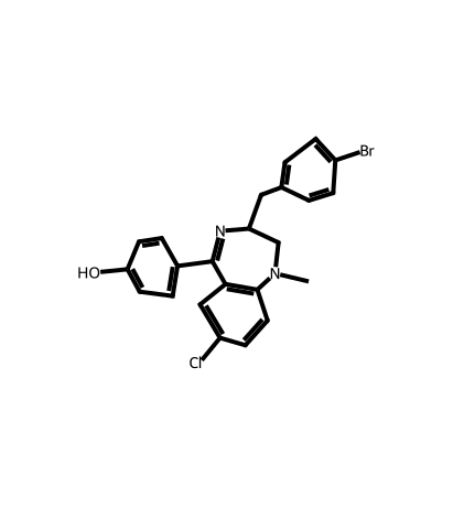 CN1CC(Cc2ccc(Br)cc2)N=C(c2ccc(O)cc2)c2cc(Cl)ccc21